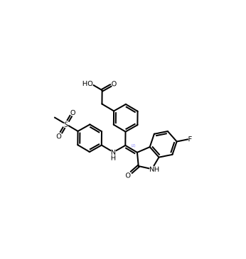 CS(=O)(=O)c1ccc(N/C(=C2\C(=O)Nc3cc(F)ccc32)c2cccc(CC(=O)O)c2)cc1